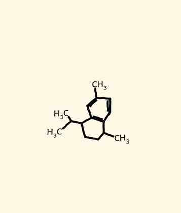 Cc1ccc2c(c1)C(C(C)C)CCC2C